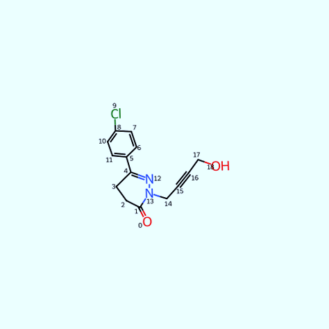 O=C1CCC(c2ccc(Cl)cc2)=NN1CC#CCO